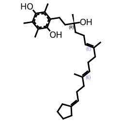 C/C(=C\CC/C(C)=C/CC[C@@](C)(O)CCc1c(C)c(O)c(C)c(C)c1O)CCC=C1CCCC1